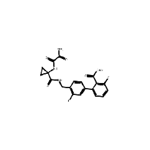 COC(=O)c1c(F)cccc1-c1ccc(CNC(=O)C2(NC(=O)C(N)=O)CC2)c(F)c1